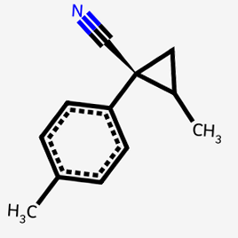 Cc1ccc([C@]2(C#N)CC2C)cc1